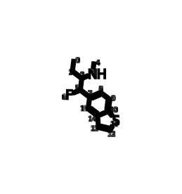 CCC(NC)C(F)c1ccc2sccc2c1